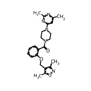 Cc1cc(N2CCN(C(=O)c3ccccc3OCc3c(C)noc3C)CC2)nc(C)n1